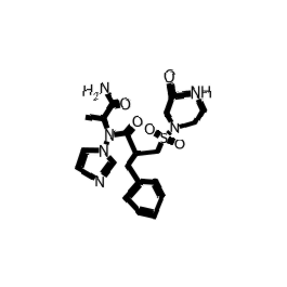 CC(C(N)=O)N(C(=O)C(Cc1ccccc1)CS(=O)(=O)N1CCNC(=O)C1)n1ccnc1